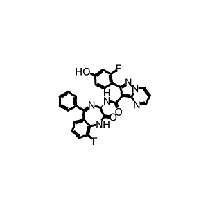 O=C(N[C@H]1N=C(c2ccccc2)c2cccc(F)c2NC1=O)c1c(-c2ccc(O)cc2F)nn2cccnc12